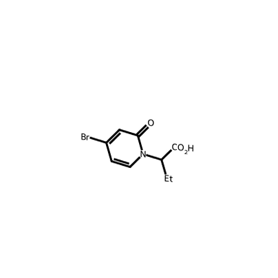 CCC(C(=O)O)n1ccc(Br)cc1=O